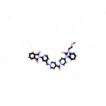 COCCn1c(=O)n(C2CCN(C(=O)C3CCN(Cc4ccnc(N5C(=O)c6ccccc6C5=O)c4)CC3)CC2)c2ccccc21